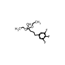 CCO[Si](O)(CCCc1cc(F)c(F)c(F)c1)OCC